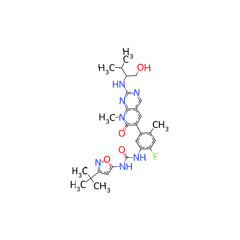 Cc1cc(F)c(NC(=O)Nc2cc(C(C)(C)C)no2)cc1-c1cc2cnc(NC(CO)C(C)C)nc2n(C)c1=O